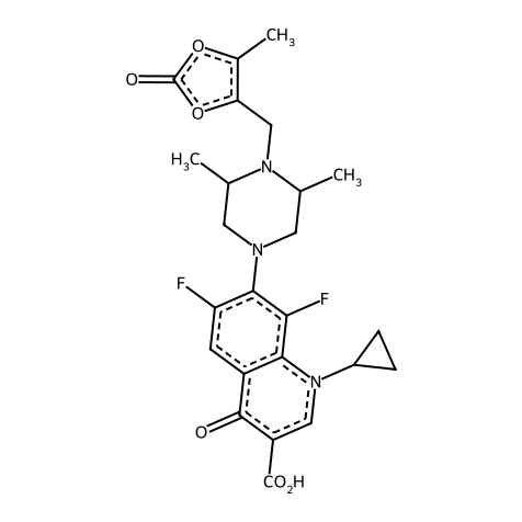 Cc1oc(=O)oc1CN1C(C)CN(c2c(F)cc3c(=O)c(C(=O)O)cn(C4CC4)c3c2F)CC1C